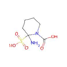 NC1(S(=O)(=O)O)CCCCN1C(=O)O